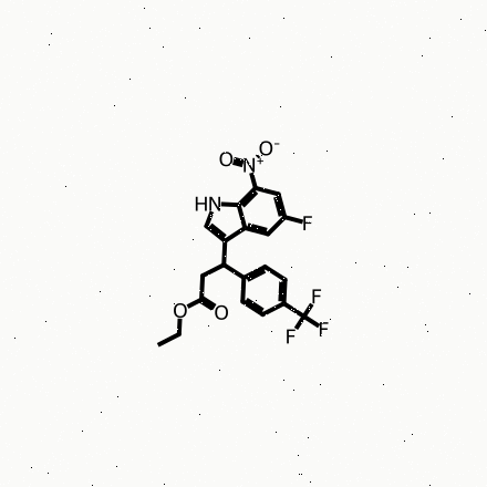 CCOC(=O)CC(c1ccc(C(F)(F)F)cc1)c1c[nH]c2c([N+](=O)[O-])cc(F)cc12